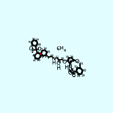 C.O=PC(Oc1ccc(CCNCC(O)COc2ccc3cc2NS(=O)(=O)c2cccc(c2)CO3)cc1)(c1ccccc1)c1ccccc1